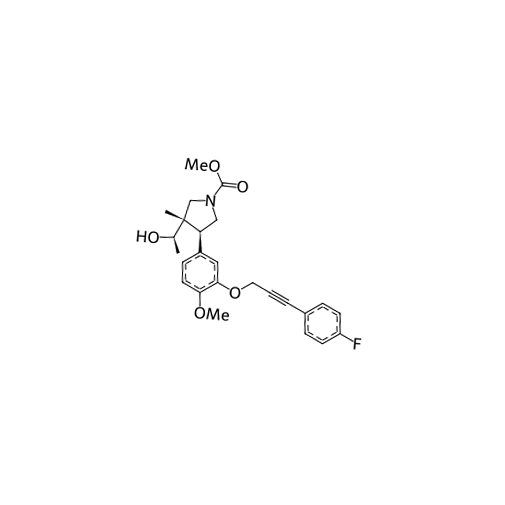 COC(=O)N1C[C@@H](c2ccc(OC)c(OCC#Cc3ccc(F)cc3)c2)[C@](C)([C@@H](C)O)C1